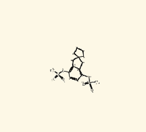 O=S(=O)(Oc1ccc(OS(=O)(=O)C(F)(F)F)c2c1CC1(CCCC1)C2)C(F)(F)F